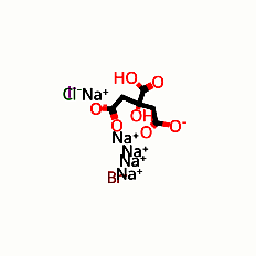 O=C([O-])CC(O)(CC(=O)[O-])C(=O)O.[Br-].[Cl-].[I-].[Na+].[Na+].[Na+].[Na+].[Na+]